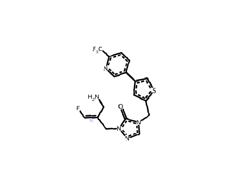 NC/C(=C\F)Cn1ncn(Cc2cc(-c3ccc(C(F)(F)F)nc3)cs2)c1=O